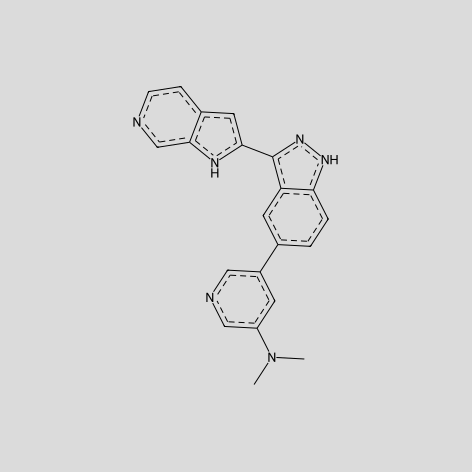 CN(C)c1cncc(-c2ccc3[nH]nc(-c4cc5ccncc5[nH]4)c3c2)c1